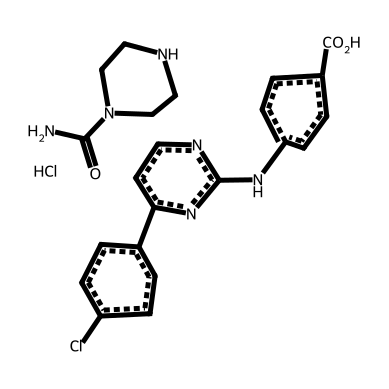 Cl.NC(=O)N1CCNCC1.O=C(O)c1ccc(Nc2nccc(-c3ccc(Cl)cc3)n2)cc1